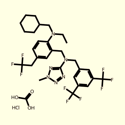 CCN(CC1CCCCC1)c1ccc(CC(F)(F)F)cc1CN(Cc1cc(C(F)(F)F)cc(C(F)(F)F)c1)c1nnn(C)n1.Cl.O=C(O)O